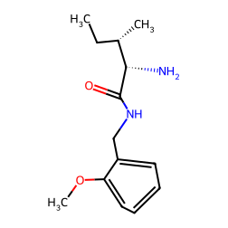 CC[C@H](C)[C@H](N)C(=O)NCc1ccccc1OC